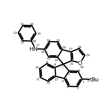 CC(C)(C)c1ccc2c(c1)C1(c3ccccc3-2)c2cc(Nc3ccccc3)ccc2-c2ccoc21